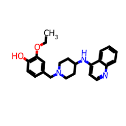 CCOc1cc(CN2CCC(Nc3ccnc4ccccc34)CC2)ccc1O